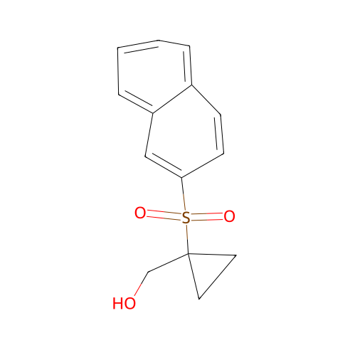 O=S(=O)(c1ccc2ccccc2c1)C1(CO)CC1